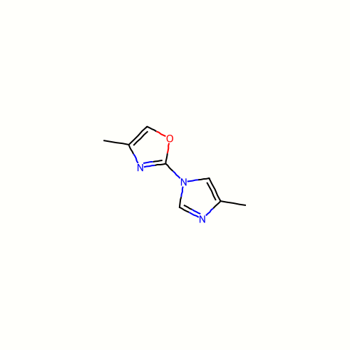 Cc1cn(-c2nc(C)co2)cn1